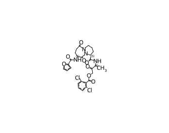 C[C@H](NC(=O)[C@@H]1CCCN2C(=O)CC[C@H](NC(=O)c3ccco3)C(=O)N12)C(=O)COC(=O)c1c(Cl)cccc1Cl